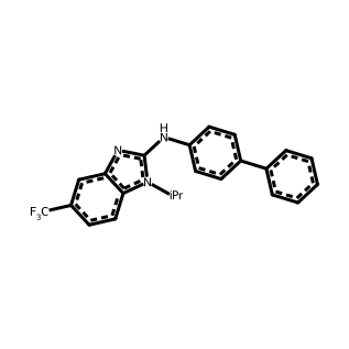 CC(C)n1c(Nc2ccc(-c3ccccc3)cc2)nc2cc(C(F)(F)F)ccc21